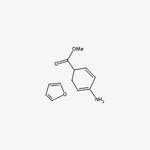 COC(=O)C1C=CC(N)=CC1.c1ccoc1